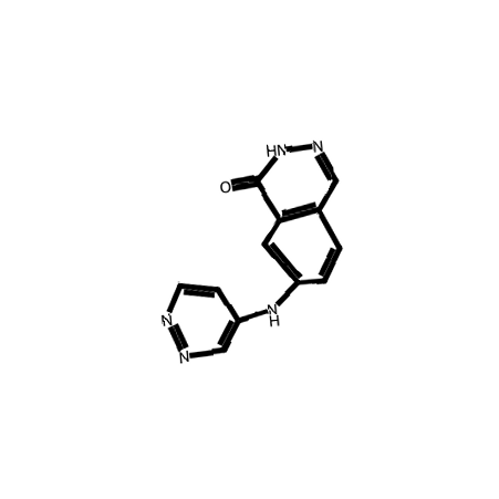 O=c1[nH]ncc2ccc(Nc3ccnnc3)cc12